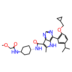 COCC(=O)N[C@H]1CC[C@H](NC(=O)c2c(C)[nH]c3c(-c4cc(C(C)C)ccc4OCC4CC4)ncnc23)CC1